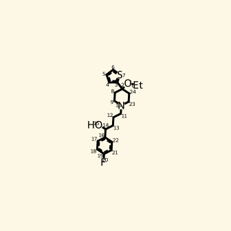 CCOC1(c2cccs2)CCN(CCCC(O)c2ccc(F)cc2)CC1